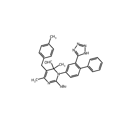 CCCCC1=NC(C)=C(Cc2ccc(C)cc2)C(C)(C=O)N1c1ccc(-c2ccccc2)c(-c2nnn[nH]2)c1